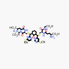 N#CSc1cc(C(SC[C@H](NC(=O)CC[C@H](N)C(=O)O)C(=O)NCC(=O)O)C2CCCC(C(SC[C@H](NC(=O)CC[C@@H](N)C(=O)O)C(=O)NCC(=O)O)c3nccc(SC#N)n3)C2=O)ncn1